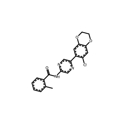 Cc1ccccc1C(=O)Nc1cnc(-c2cc3c(cc2Cl)OCCO3)cn1